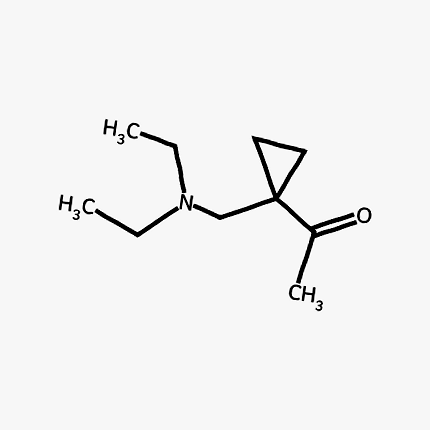 CCN(CC)CC1(C(C)=O)CC1